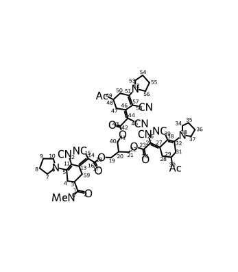 CNC(=O)C1CC(N2CCCC2)=C(C#N)/C(=C(\C#N)C(=O)OCC(COC(=O)/C(C#N)=C2\CC(C(C)=O)CC(N3CCCC3)=C2C#N)COC(=O)/C(C#N)=C2\CC(C(C)=O)CC(N3CCCC3)=C2C#N)C1